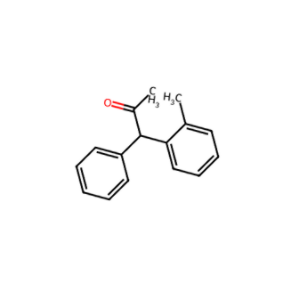 CC(=O)C(c1ccccc1)c1ccccc1C